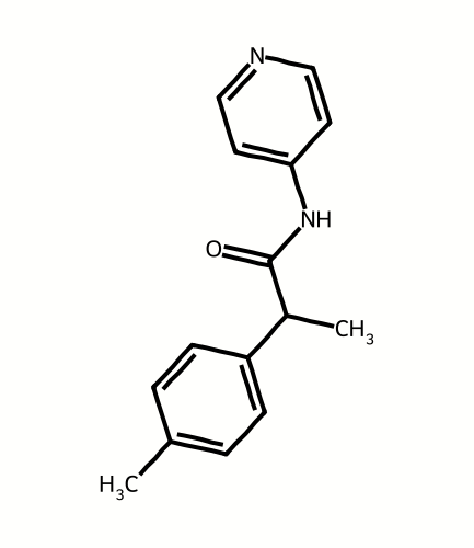 Cc1ccc(C(C)C(=O)Nc2ccncc2)cc1